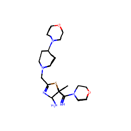 CC1(C(=N)N2CCOCC2)SC(CN2CCC(N3CCOCC3)CC2)=NC1N